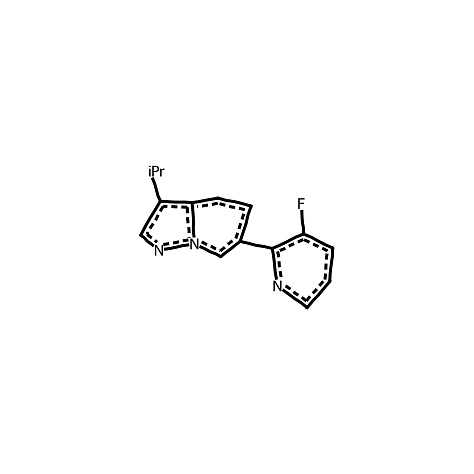 CC(C)c1cnn2cc(-c3ncccc3F)ccc12